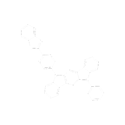 c1ccc(-n2c3ccccc3c3cc4c(cc32)c2ccccc2n4-c2ccc(-c3nc4ncccc4s3)nc2)cc1